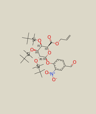 C=CCOC(=O)[C@H]1O[C@@H](Oc2ccc(C=O)cc2[N+](=O)[O-])[C@H](O[Si](C)(C)C(C)(C)C)[C@@H](O[Si](C)(C)C(C)(C)C)[C@H]1O[Si](C)(C)C(C)(C)C